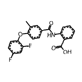 Cc1cc(C(=O)Nc2ccccc2C(=O)O)ccc1Oc1ccc(F)cc1F